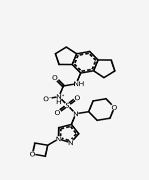 O=C(Nc1c2c(cc3c1CCC3)CCC2)[NH+]([O-])S(=O)(=O)N(c1cnn(C2COC2)c1)C1CCOCC1